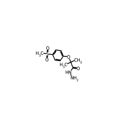 CC(C)(Oc1ccc(S(C)(=O)=O)cc1)C(=O)NN